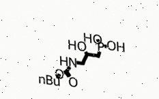 CCCCOC(=O)NCC(O)CP(O)O